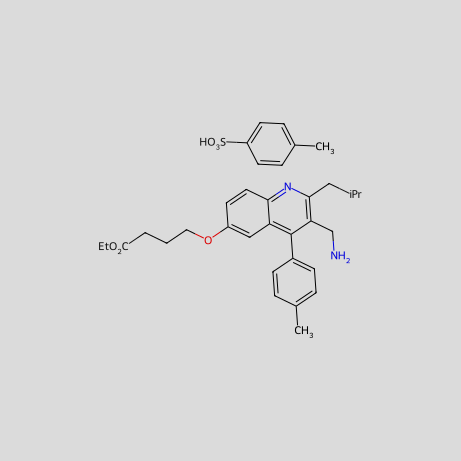 CCOC(=O)CCCOc1ccc2nc(CC(C)C)c(CN)c(-c3ccc(C)cc3)c2c1.Cc1ccc(S(=O)(=O)O)cc1